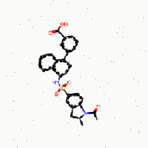 CC(=O)N1c2ccc(S(=O)(=O)Nc3ccc(-c4cccc(C(=O)O)c4)c4ccccc34)cc2CC1C